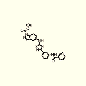 CC(C)(C)OC(=O)n1ncc2cc(Nc3nc(-c4cccc(NC(=O)c5cccnc5)c4)ns3)ccc21